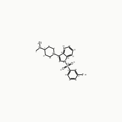 CCN(C)C1CCN(c2cn(S(=O)(=O)c3cccc(F)c3)c3cccnc23)CC1